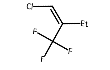 CCC(=CCl)C(F)(F)F